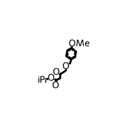 COc1ccc(COCC(=O)CC(=O)OC(C)C)cc1